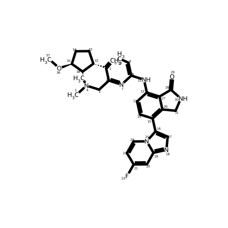 C=C(/C(CN(C)C)=N\C(=C/C)Nc1ccc(-c2cnc3cc(F)ccn23)c2c1C(=O)NC2)[C@H]1CC[C@H](OC)C1